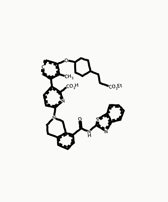 CCOC(=O)CCC1CCC(Oc2cccc(-c3ccc(N4CCc5cccc(C(=O)Nc6nc7ccccc7s6)c5C4)nc3C(=O)O)c2C)CC1